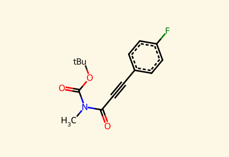 CN(C(=O)C#Cc1ccc(F)cc1)C(=O)OC(C)(C)C